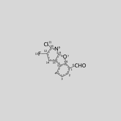 O=Cc1cccc2c1oc1nc(Cl)c(F)cc12